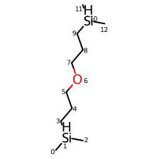 C[SiH](C)CCCOCCC[SiH](C)C